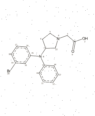 O=C(O)CN1CCC(N(c2ccccc2)c2cccc(Br)c2)C1